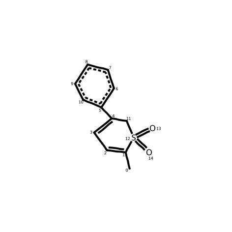 CC1=CC=C(c2ccccc2)CS1(=O)=O